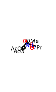 COC(=O)[C@@](N)(CCOC(=O)CC(C)C)Cc1ccc(OC(C)=O)c(OC(C)=O)c1